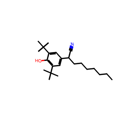 CCCCCCCC(C#N)c1cc(C(C)(C)C)c(O)c(C(C)(C)C)c1